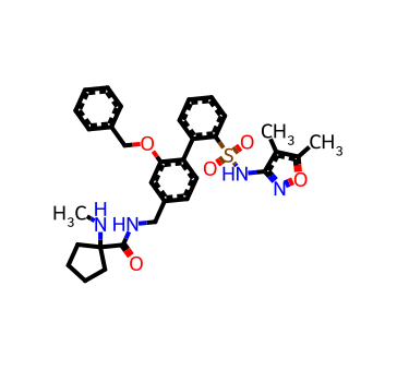 CNC1(C(=O)NCc2ccc(-c3ccccc3S(=O)(=O)Nc3noc(C)c3C)c(OCc3ccccc3)c2)CCCC1